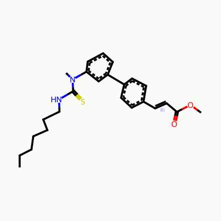 CCCCCCCNC(=S)N(C)c1cccc(-c2ccc(/C=C/C(=O)OC)cc2)c1